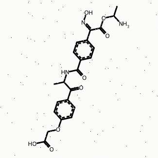 CC(N)OC(=O)/C(=N\O)c1ccc(C(=O)NC(C)C(=O)c2ccc(OCC(=O)O)cc2)cc1